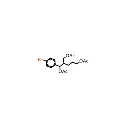 CC(=O)OCCCC(COC(C)=O)C(OC(C)=O)c1ccc(Br)cc1